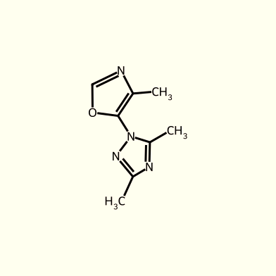 Cc1nc(C)n(-c2ocnc2C)n1